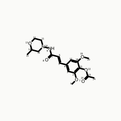 COc1cc(/C=C/C(=O)NN2CCOC(C)C2)cc(OC)c1OC(C)=O